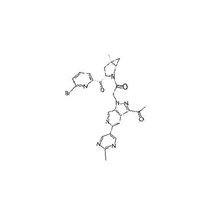 CC(=O)c1nn(CC(=O)N2C3C[C@]3(C)C[C@H]2C(=O)c2cccc(Br)n2)c2cnc(-c3cnc(C)nc3)cc12